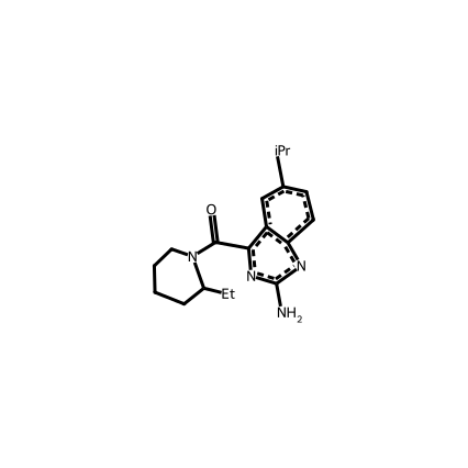 CCC1CCCCN1C(=O)c1nc(N)nc2ccc(C(C)C)cc12